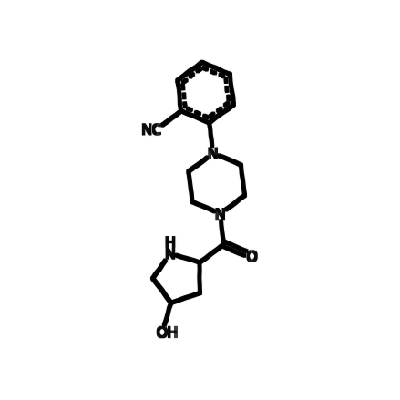 N#Cc1ccccc1N1CCN(C(=O)C2CC(O)CN2)CC1